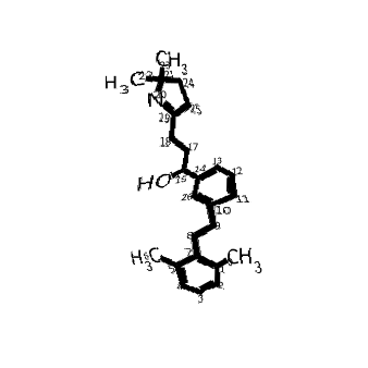 Cc1cccc(C)c1CCc1cccc(C(O)CCC2=NC(C)(C)CC2)c1